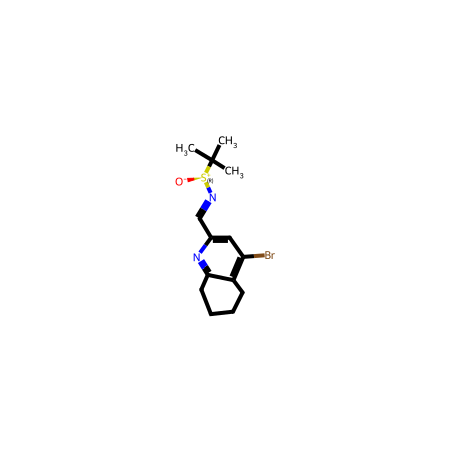 CC(C)(C)[S@+]([O-])N=Cc1cc(Br)c2c(n1)CCCC2